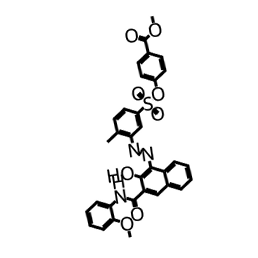 COC(=O)c1ccc(OS(=O)(=O)c2ccc(C)c(N=Nc3c(O)c(C(=O)Nc4ccccc4OC)cc4ccccc34)c2)cc1